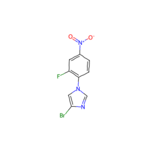 O=[N+]([O-])c1ccc(-n2cnc(Br)c2)c(F)c1